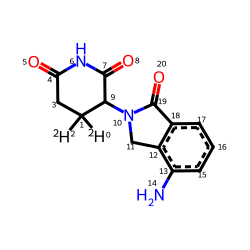 [2H]C1([2H])CC(=O)NC(=O)C1N1Cc2c(N)cccc2C1=O